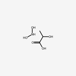 CC(O)C(=O)O.ONO